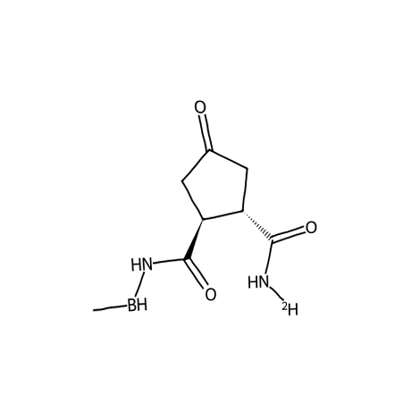 [2H]NC(=O)[C@H]1CC(=O)C[C@@H]1C(=O)NBC